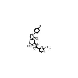 Cc1nccc(C(=O)NC2CC3(CCN(c4ccc(F)cc4)C3=O)CCC2(C)O)n1